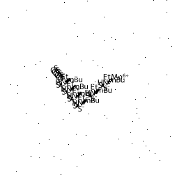 CCCCC(CC)CNC(=S)[S-].CCCCC(CC)CNC(=S)[S-].CCCCC(CC)CNC(=S)[S-].CCCCC(CC)CNC(=S)[S-].CCCCC(CC)CNC(=S)[S-].CCCCC(CC)CNC(=S)[S-].O=S.O=S.O=S.O=S.O=S.O=S.[Mo+6]